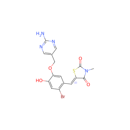 CN1C(=O)S/C(=C\c2cc(OCc3cnc(N)nc3)c(O)cc2Br)C1=O